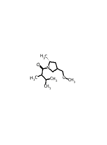 COCC1C[C@@H](C)N(C(=O)C(C)C(C)C)C1